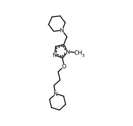 Cn1c(CN2CCCCC2)cnc1OCCCN1CCCCC1